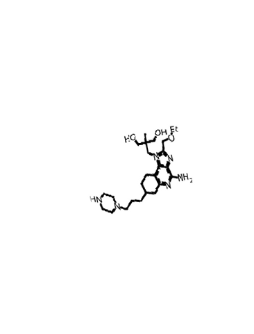 CCOCc1nc2c(N)nc3c(c2n1CC(C)(CO)CO)CCC(CCCN1CCNCC1)C3